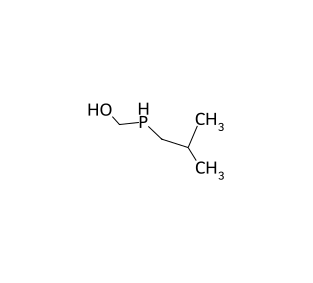 CC(C)CPCO